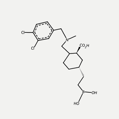 CN(Cc1ccc(Cl)c(Cl)c1)CC1CC[C@@H](CCB(O)O)C[C@@H]1C(=O)O